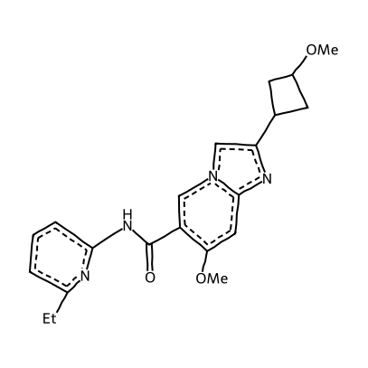 CCc1cccc(NC(=O)c2cn3cc(C4CC(OC)C4)nc3cc2OC)n1